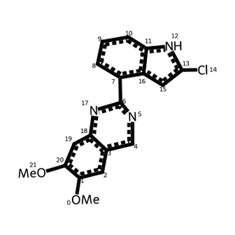 COc1cc2cnc(-c3cccc4[nH]c(Cl)cc34)nc2cc1OC